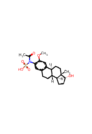 COc1cc2c(cc1N(C(C)=O)S(=O)(=O)O)CC[C@@H]1[C@@H]2CC[C@]2(C)[C@H](O)CC[C@@H]12